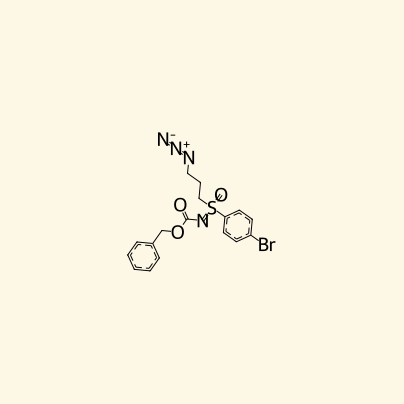 [N-]=[N+]=NCCCS(=O)(=NC(=O)OCc1ccccc1)c1ccc(Br)cc1